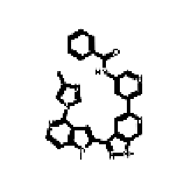 Cc1cn(-c2nccc3[nH]c(-c4n[nH]c5cnc(-c6cncc(NC(=O)c7ccccc7)c6)cc45)cc23)cn1